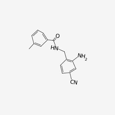 Cc1cccc(C(=O)NCc2ccc(C#N)cc2N)c1